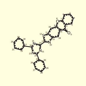 O=c1c2ccccc2oc2cc3sc(-c4nc(-c5ccccc5)nc(-c5ccccc5)n4)nc3cc12